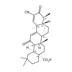 [C-]#[N+]C1=C[C@]2(C)C3=CC(=O)[C@@H]4[C@@H]5CC(C)(C)CC[C@]5(C(=O)O)CC[C@@]4(C)[C@]3(C)CC[C@H]2[C@H](C)C1=O